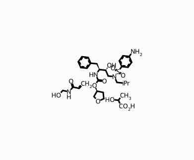 C=CC(=O)NCO.CC(C)CN(C[C@@H](O)[C@H](Cc1ccccc1)NC(=O)O[C@H]1CCOC1)S(=O)(=O)c1ccc(N)cc1.CC(O)C(=O)O